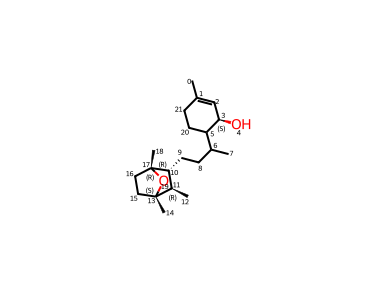 CC1=C[C@@H](O)C(C(C)CC[C@@H]2[C@@H](C)[C@]3(C)CC[C@@]2(C)O3)CC1